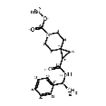 CCCCOC(=O)N1CCC2(CC1)CC2C(=O)N[C@@H](C)c1ccccc1